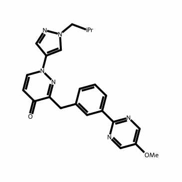 COc1cnc(-c2cccc(Cc3nn(-c4cnn(CC(C)C)c4)ccc3=O)c2)nc1